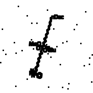 CCCCCCCCCCCCCCCCCCCCCCCCC(C(=O)OC)[C@@H](CCCCCCCCCSc1nnnn1-c1ccccc1)O[Si](C)(C)C(C)(C)C